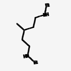 CCNCCC(C)CCNCC